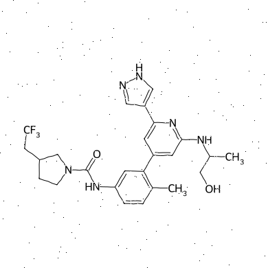 Cc1ccc(NC(=O)N2CCC(CC(F)(F)F)C2)cc1-c1cc(NC(C)CO)nc(-c2cn[nH]c2)c1